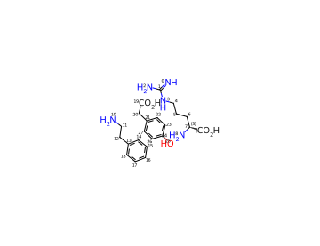 N=C(N)NCCC[C@H](N)C(=O)O.NCCc1ccccc1.O=C(O)Cc1ccc(O)cc1